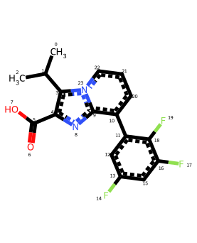 CC(C)c1c(C(=O)O)nc2c(-c3cc(F)cc(F)c3F)cccn12